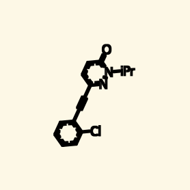 CC(C)n1nc(C#Cc2ccccc2Cl)ccc1=O